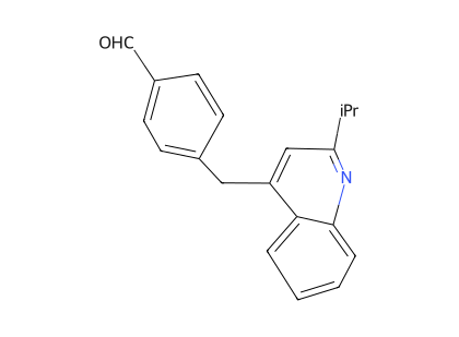 CC(C)c1cc(Cc2ccc(C=O)cc2)c2ccccc2n1